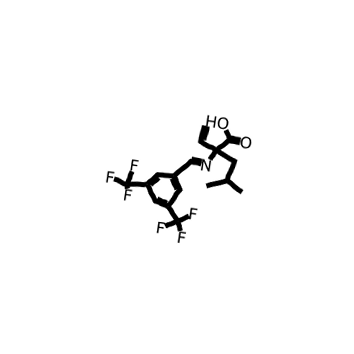 C=CC(CC(C)C)(N=Cc1cc(C(F)(F)F)cc(C(F)(F)F)c1)C(=O)O